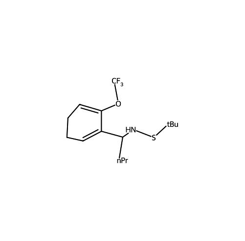 CCCC(NSC(C)(C)C)C1=CCCC=C1OC(F)(F)F